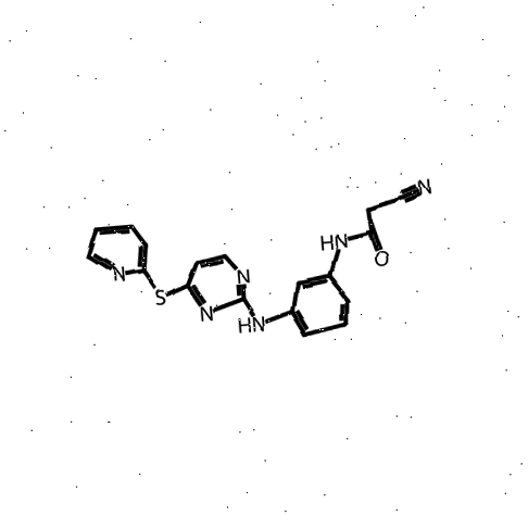 N#CCC(=O)Nc1cccc(Nc2nccc(Sc3ccccn3)n2)c1